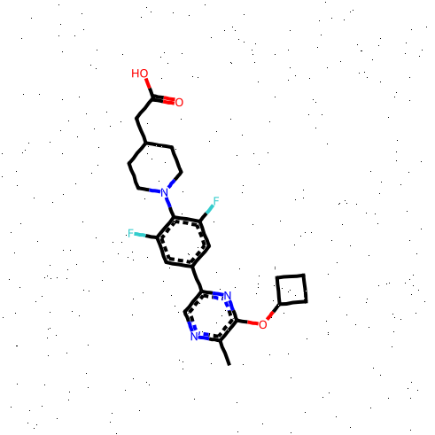 Cc1ncc(-c2cc(F)c(N3CCC(CC(=O)O)CC3)c(F)c2)nc1OC1CCC1